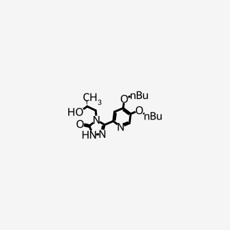 CCCCOc1cnc(-c2n[nH]c(=O)n2C[C@@H](C)O)cc1OCCCC